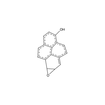 Oc1ccc2ccc3c4c(ccc1c24)=CC1OC31